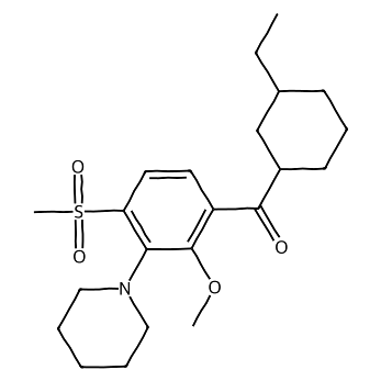 CCC1CCCC(C(=O)c2ccc(S(C)(=O)=O)c(N3CCCCC3)c2OC)C1